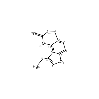 O=c1ccc2ccc3occ([CH2][Hg])c3c2o1